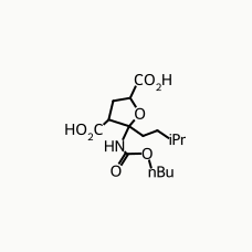 CCCCOC(=O)NC1(CCC(C)C)OC(C(=O)O)CC1C(=O)O